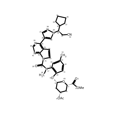 COC(=O)[C@@H]1C[C@H](OC(C)=O)C[C@H](Oc2ccc(C)cc2N(C)C(=O)n2ccc3c(-c4cnn([C@H](CC#N)C5CCCC5)c4)ncnc32)O1